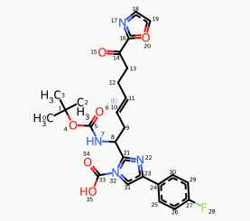 CC(C)(C)OC(=O)NC(C/C=C/CCC(=O)c1ncco1)c1nc(-c2ccc(F)cc2)cn1C(=O)O